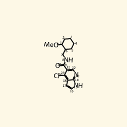 COC1CCCCC1CNC(=O)c1cnc2[nH]ccc2c1Cl